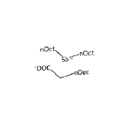 CCCCCCCCCCCC(=O)[O-].CCCCCCC[CH2][Sb+][CH2]CCCCCCC